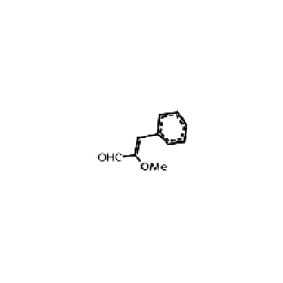 CO/C([C]=O)=C\c1ccccc1